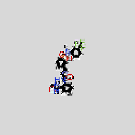 CN(c1cccc(C(F)(F)F)c1)S(=O)(=O)c1cccc(/C=C/C(=O)Nc2ccccc2-c2ncon2)c1